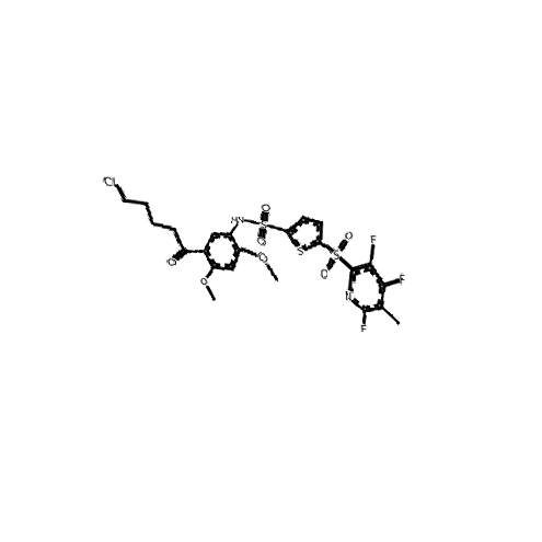 COc1cc(OC)c(C(=O)CCCCCl)cc1NS(=O)(=O)c1ccc(S(=O)(=O)c2nc(F)c(C)c(F)c2F)s1